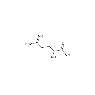 N=C(N)CCC(N)C(=O)O